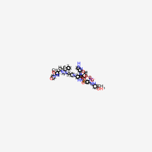 COc1cc([C@H](C)N2CCN(C3CC4(CCN(c5ccc(C(=O)NS(=O)(=O)c6ccc(NC[C@H]7CC[C@](C)(O)CC7)c([N+](=O)[O-])c6)c(N6c7cc8cc[nH]c8nc7O[C@H]7COCC[C@@H]76)c5)CC4)C3)[C@H](c3ccccc3C)C2)cnc1N1CCOCC1